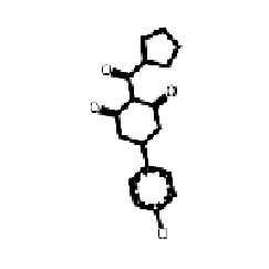 O=C1CC(c2ccc(Cl)cc2)CC(=O)C1C(=O)C1CCCC1